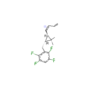 C=C/C=C\[C@@H]1[C@@H](Cc2c(F)c(F)cc(F)c2F)C1(C)C